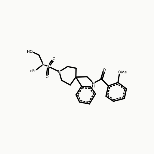 CCCN(CO)S(=O)(=O)N1CCC(CNC(=O)c2ccccc2OC)(c2ccccc2)CC1